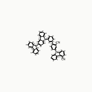 N#Cc1cc(-n2c3ccccc3c3c(C#N)cccc32)ccc1-c1cccc(-n2c3ccccc3c3cc(-n4c5ccccc5c5ccccc54)ccc32)c1